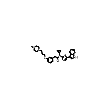 CN1CCN(CCCOc2cccc(CC(=O)N(c3nc(-c4c[nH]c5ncccc45)cs3)C3CC3)c2)CC1